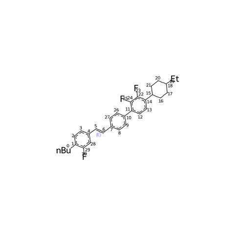 CCCCc1ccc(/C=C/c2ccc(-c3ccc(C4CCC(CC)CC4)c(F)c3F)cc2)cc1F